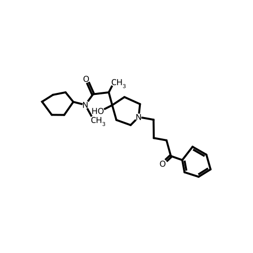 CC(C(=O)N(C)C1CCCCC1)C1(O)CCN(CCCC(=O)c2ccccc2)CC1